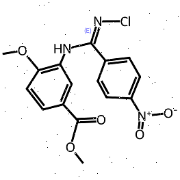 COC(=O)c1ccc(OC)c(N/C(=N/Cl)c2ccc([N+](=O)[O-])cc2)c1